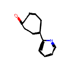 O=C1CCCCC(c2ccccn2)CC1